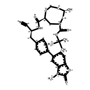 Cn1c(=O)oc2ccc(-c3ccc(C[C@@H](C#N)NC(=O)[C@@H]4CN(C(=O)OC(C)(C)C)C[C@@H](O)CCO4)cc3)cc21